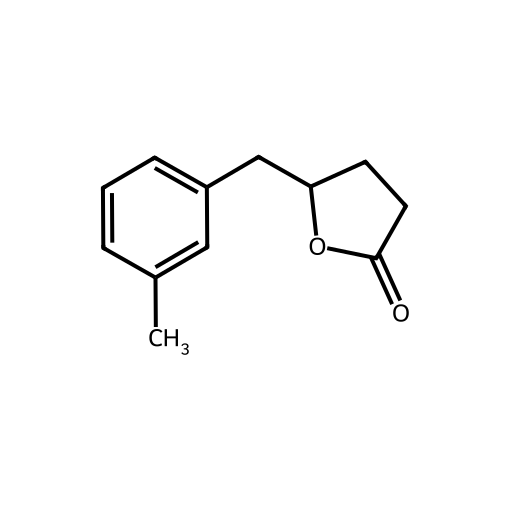 Cc1cccc(CC2CCC(=O)O2)c1